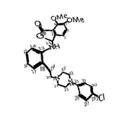 COc1ccc2c(c1OC)C(=O)OC2Nc1ccccc1CCN1CCN(c2ccc(Cl)cc2)CC1